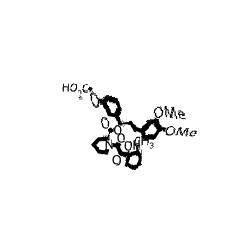 COc1ccc(CC[C@@H](OC(=O)[C@@H]2CCCCN2C(=O)C(=O)[C@@]2(O)CCCC[C@@H]2C)c2cccc(OCC(=O)O)c2)cc1OC